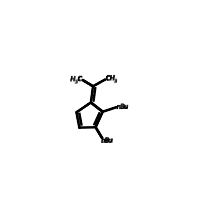 CCCCC1=C(CCCC)C(=C(C)C)C=C1